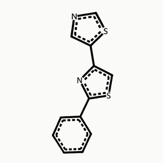 c1ccc(-c2nc(-c3cncs3)cs2)cc1